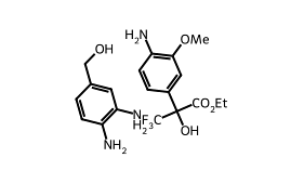 CCOC(=O)C(O)(c1ccc(N)c(OC)c1)C(F)(F)F.Nc1ccc(CO)cc1N